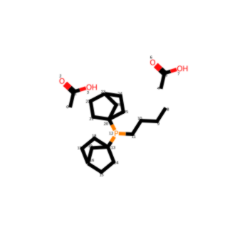 CC(=O)O.CC(=O)O.CCCCP(C12CCC(CC1)C2)C12CCC(CC1)C2